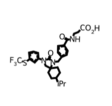 CC(C)C1CCC2(CC1)CN(c1cccc(SC(F)(F)F)c1)C(=O)N2Cc1ccc(C(=O)NCCC(=O)O)cc1